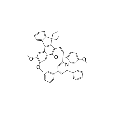 CCC1(CC)c2ccccc2-c2c1c1c(c3cc(OC)c(OC)cc23)OC(c2ccc(OC)cc2)(c2cc(-c3ccccc3)cc(-c3ccccc3)n2)C=C1